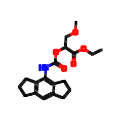 CCOC(=O)C(COC)OC(=O)Nc1c2c(cc3c1CCC3)CCC2